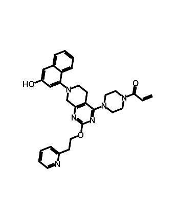 C=CC(=O)N1CCN(c2nc(OCCc3ccccn3)nc3c2CCN(c2cc(O)cc4ccccc24)C3)CC1